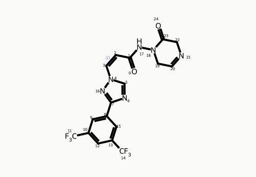 O=C(/C=C\n1cnc(-c2cc(C(F)(F)F)cc(C(F)(F)F)c2)n1)NN1CC=NCC1=O